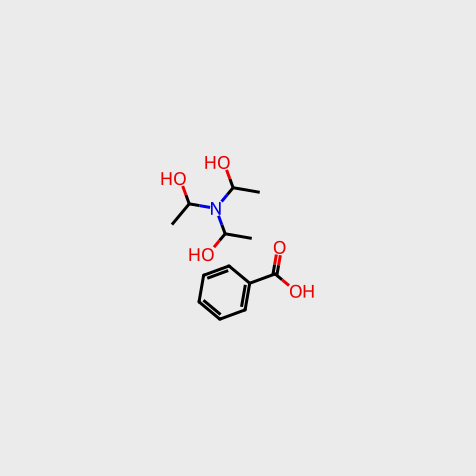 CC(O)N(C(C)O)C(C)O.O=C(O)c1ccccc1